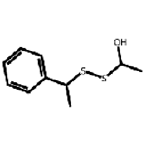 CC(O)SSC(C)c1[c]cccc1